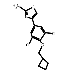 Nc1nc(-c2cc(Cl)c(OCC3CCC3)c(Cl)c2)cs1